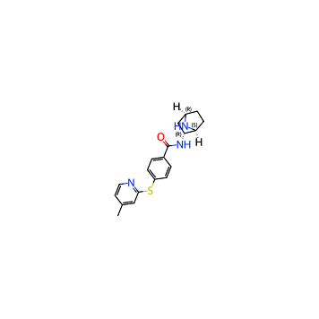 Cc1ccnc(Sc2ccc(C(=O)N[C@@H]3C[C@H]4CC[C@@H]3N4)cc2)c1